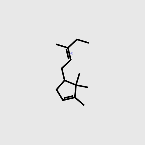 CC/C(C)=C/CC1CC=C(C)C1(C)C